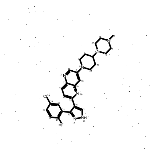 CN1CCN(C2CCN(c3cnc4ccc(-c5c[nH]nc5-c5cc(Cl)ccc5F)nc4c3)CC2)CC1